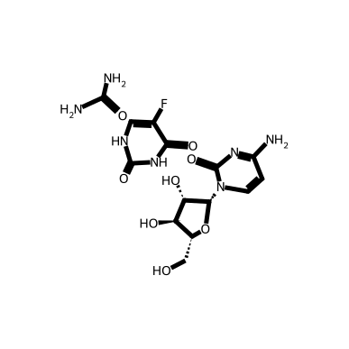 NC(N)=O.Nc1ccn([C@@H]2O[C@H](CO)[C@@H](O)[C@@H]2O)c(=O)n1.O=c1[nH]cc(F)c(=O)[nH]1